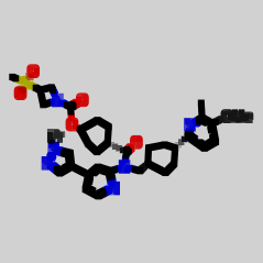 COc1ccc([C@H]2CC[C@H](CN(c3cc(-c4cnn(C(C)C)c4)ccn3)C(=O)[C@H]3CC[C@H](OC(=O)N4CC(S(C)(=O)=O)C4)CC3)CC2)nc1C